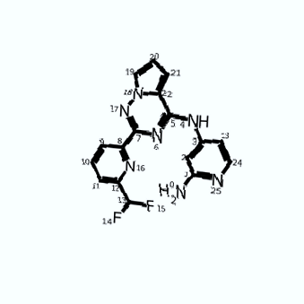 Nc1cc(Nc2nc(-c3cccc(C(F)F)n3)nn3cccc23)ccn1